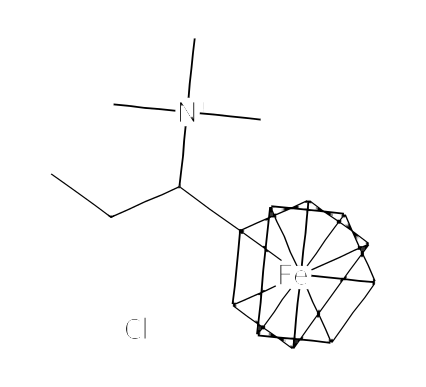 CCC([C]12[CH]3[CH]4[CH]5[CH]1[Fe]45321678[CH]2[CH]1[CH]6[CH]7[CH]28)[N+](C)(C)C.[Cl-]